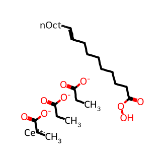 CCC(=O)[O-].CCC(=O)[O-].CCC(=O)[O-].CCCCCCCCC=CCCCCCCCC(=O)OO.[Ce+3]